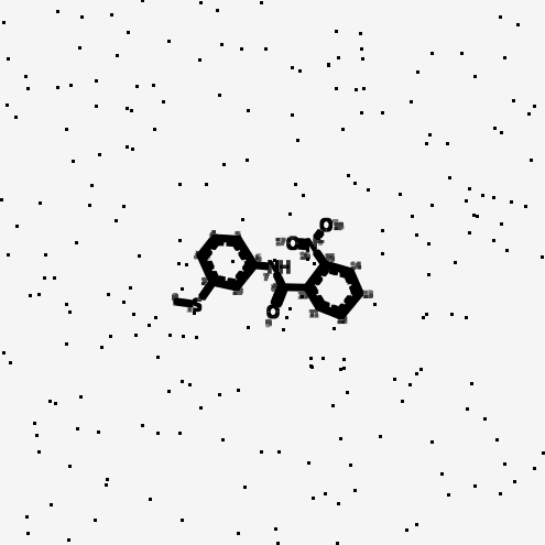 CSc1cccc(NC(=O)c2ccccc2[N+](=O)[O-])c1